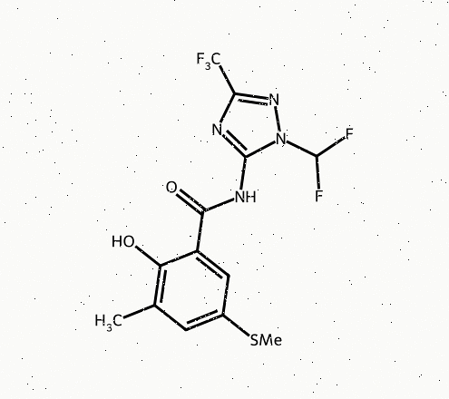 CSc1cc(C)c(O)c(C(=O)Nc2nc(C(F)(F)F)nn2C(F)F)c1